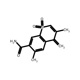 C=C1C(C)=CS(=O)(=O)c2cc(C(N)=O)c(C)cc21